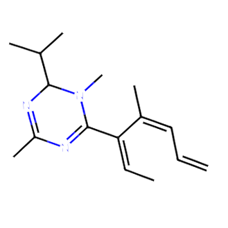 C=C/C=C(C)\C(=C/C)C1=NC(C)=NC(C(C)C)N1C